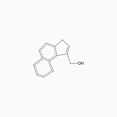 OCC1=CCc2ccc3ccccc3c21